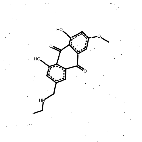 CCNCc1cc(O)c2c(c1)C(=O)c1cc(OC)cc(O)c1C2=O